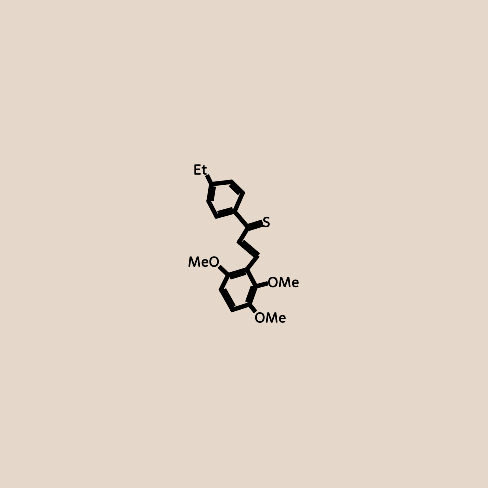 CCc1ccc(C(=S)C=Cc2c(OC)ccc(OC)c2OC)cc1